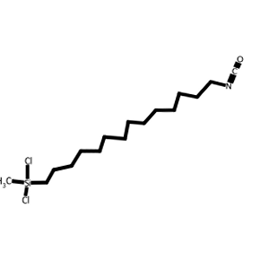 C[Si](Cl)(Cl)CCCCCCCCCCCCCCN=C=O